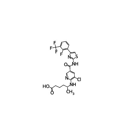 CC(CCCC(=O)O)Nc1ncc(C(=O)Nc2nc(-c3cccc(C(F)(F)F)c3F)cs2)cc1Cl